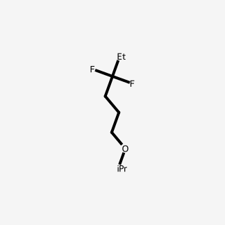 CCC(F)(F)CCCOC(C)C